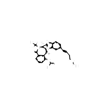 [2H]C([2H])([2H])N1C(=O)c2cccc(OC(F)F)c2[C@H]2C[C@@H]1c1nc3ccc(C#CCCOC)cc3n12